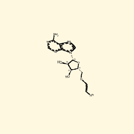 CCCC=COC[C@H]1O[C@@H](n2cnc3c(N)ncnc32)[C@H](O)[C@@H]1O